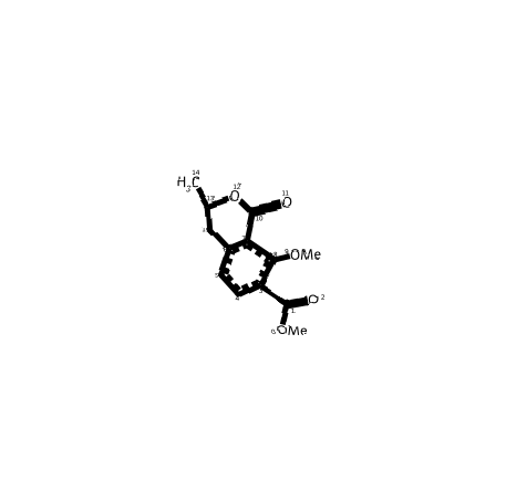 COC(=O)c1ccc2c(c1OC)C(=O)OC(C)C2